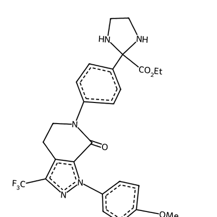 CCOC(=O)C1(c2ccc(N3CCc4c(C(F)(F)F)nn(-c5ccc(OC)cc5)c4C3=O)cc2)NCCN1